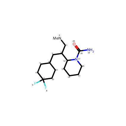 CNCC(CC1CCC(F)(F)CC1)C1CCCCN1C(N)=O